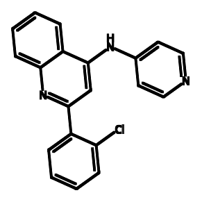 Clc1ccccc1-c1cc(Nc2ccncc2)c2ccccc2n1